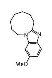 COc1ccc2nc3n(c2c1)CCCCCCC3